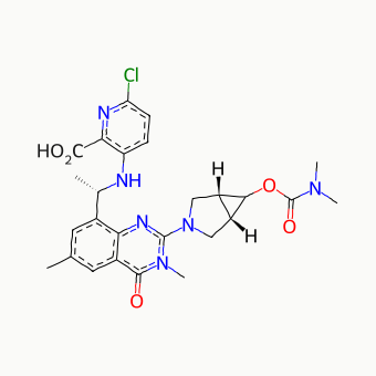 Cc1cc([C@H](C)Nc2ccc(Cl)nc2C(=O)O)c2nc(N3C[C@@H]4C(OC(=O)N(C)C)[C@@H]4C3)n(C)c(=O)c2c1